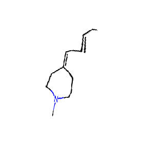 C/C=C/C=C1CCN(C)CC1